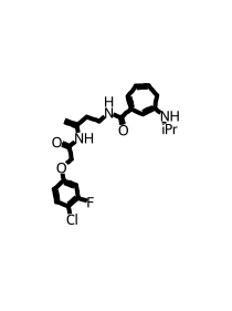 C=C(CCNC(=O)C1=CC=CCC(NC(C)C)=C1)NC(=O)COc1ccc(Cl)c(F)c1